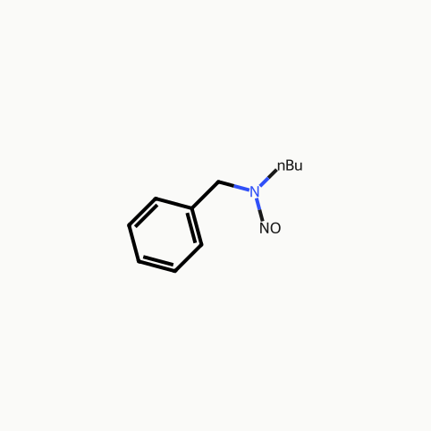 CCCCN(Cc1ccccc1)N=O